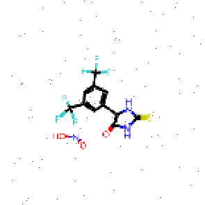 O=C1NC(=S)NC1c1cc(C(F)(F)F)cc(C(F)(F)F)c1.O=NO